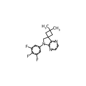 CC1(C)CC2(CN(c3cc(F)c(F)c(F)c3)c3nccnc32)C1